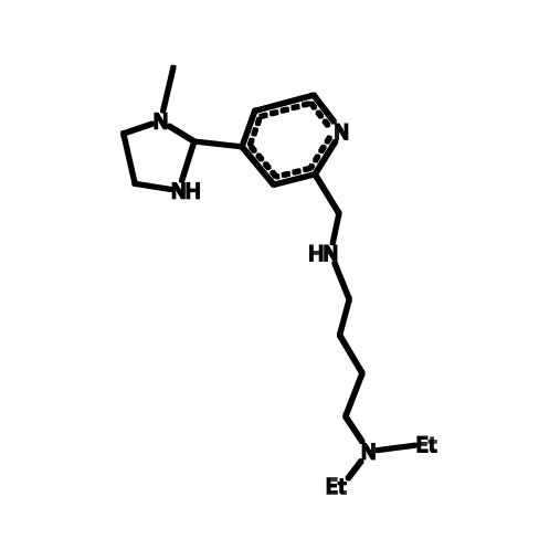 CCN(CC)CCCCNCc1cc(C2NCCN2C)ccn1